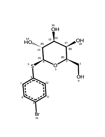 OC[C@H]1O[C@@H](Sc2ccc(Br)cc2)[C@H](O)[C@@H](O)[C@H]1O